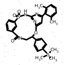 Cc1cccc(C)c1-c1cc2nc(n1)NS(=O)(=O)c1cccc(c1)C(=O)NCC(c1ccc(S(C)(C)C)cc1)O2